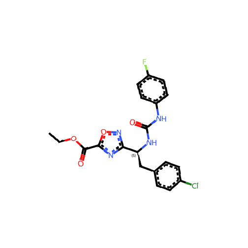 CCOC(=O)c1nc([C@H](Cc2ccc(Cl)cc2)NC(=O)Nc2ccc(F)cc2)no1